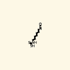 O=C=NCCCCCCCNC(=S)S